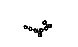 c1ccc(-c2ccc(-c3ccc(-n4c5ccccc5c5cc(-c6ccc7c8ccccc8n(-c8ccccc8)c7c6)ccc54)nc3)cc2)cc1